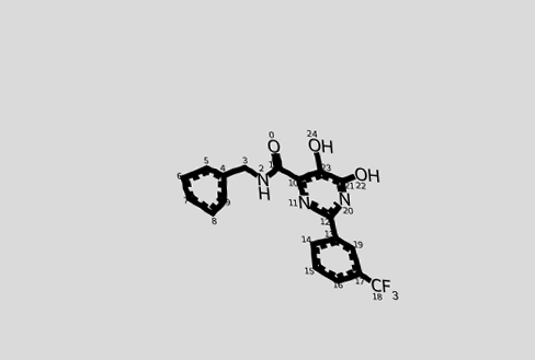 O=C(NCc1ccccc1)c1nc(-c2cccc(C(F)(F)F)c2)nc(O)c1O